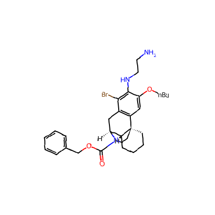 CCCCOc1cc2c(c(Br)c1NCCN)C[C@H]1[C@H]3CCCC[C@@]23CCN1C(=O)OCc1ccccc1